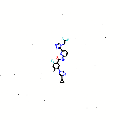 Cc1cc(F)c(C(=O)Nc2cccc(-c3nncn3CC(F)F)n2)cc1-n1cnc(C2CC2)c1